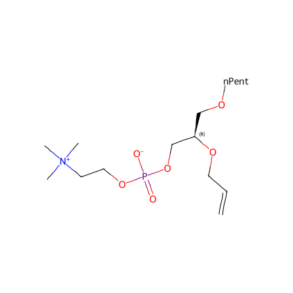 C=CCO[C@H](COCCCCC)COP(=O)([O-])OCC[N+](C)(C)C